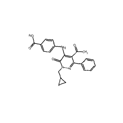 CC(=O)c1c(-c2ccccc2)nn(CC2CC2)c(=O)c1Nc1ccc(C(=O)O)cc1